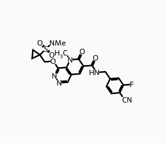 CNS(=O)(=O)C1(COc2nncc3cc(C(=O)NCc4ccc(C#N)c(F)c4)c(=O)n(C)c23)CC1